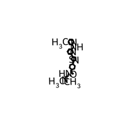 Cc1ccnc(Nc2cccc(-c3cnc(C4CCC(C(=O)NCCN(C)C)CC4)s3)n2)c1